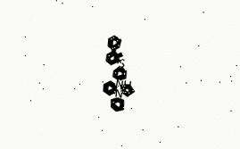 CC1=C(Sc2ccc(Nc3ccccc3N(C3=CC=CCC3)C3=CCCC3)cc2)CCC=C1C1=CCCC=C1